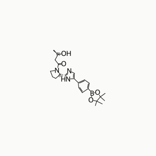 C[C@@H](O)CC(=O)N1CCC[C@H]1c1ncc(-c2ccc(B3OC(C)(C)C(C)(C)O3)cc2)[nH]1